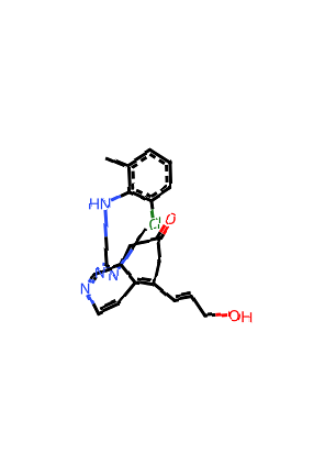 Cc1cccc(Cl)c1NC1=NC2=NC=CC3=C(/C=C/CO)CC(=O)CC23N1C